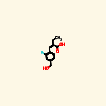 CCC(=Cc1ccc(CO)cc1F)C(=O)O